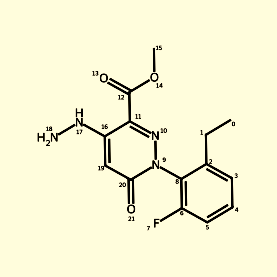 CCc1cccc(F)c1-n1nc(C(=O)OC)c(NN)cc1=O